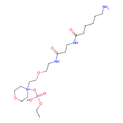 CCOP(=O)(O)O[N+]1(CCOCCNC(=O)CCNC(=O)CCCCCN)CCOCC1